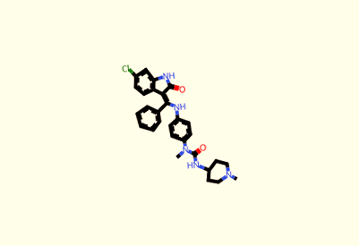 CN1CCC(NC(=O)N(C)c2ccc(N/C(=C3\C(=O)Nc4cc(Cl)ccc43)c3ccccc3)cc2)CC1